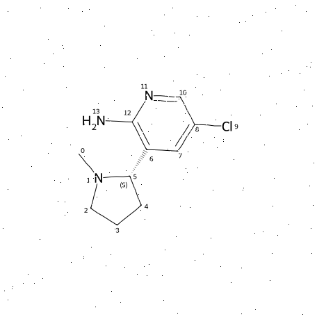 CN1CCC[C@H]1c1cc(Cl)cnc1N